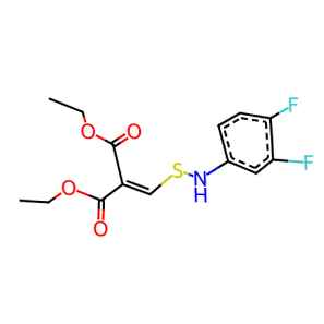 CCOC(=O)C(=CSNc1ccc(F)c(F)c1)C(=O)OCC